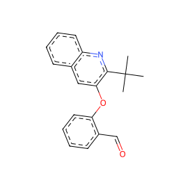 CC(C)(C)c1nc2ccccc2cc1Oc1ccccc1C=O